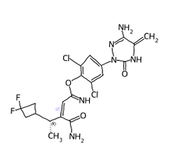 C=C1NC(=O)N(c2cc(Cl)c(OC(=N)/C=C(\C(N)=O)[C@H](C)C3CC(F)(F)C3)c(Cl)c2)N=C1N